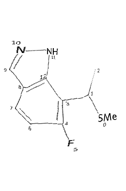 CSC(C)c1c(F)ccc2cn[nH]c12